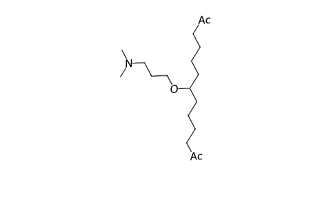 CC(=O)CCCCC(CCCCC(C)=O)OCCCN(C)C